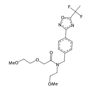 COCCOCC(=O)N(CCOC)Cc1ccc(-c2noc(C(C)(F)F)n2)cc1